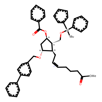 COC(=O)CCC/C=C\C[C@@H]1[C@@H](CO[Si](c2ccccc2)(c2ccccc2)C(C)(C)C)[C@H](OC(=O)c2ccccc2)C[C@H]1OCc1ccc(-c2ccccc2)cc1